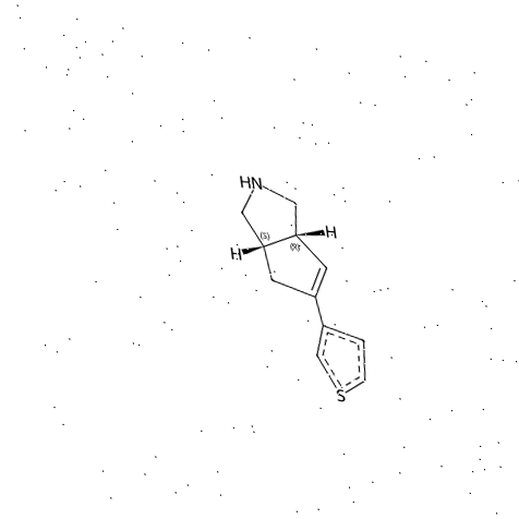 C1=C(c2ccsc2)C[C@@H]2CNC[C@H]12